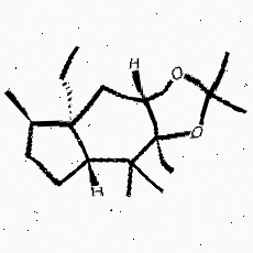 CC[C@]12C[C@@H]3OC(C)(C)O[C@]3(C)C(C)(C)[C@@H]1CC[C@H]2C